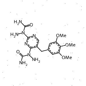 COc1cc(Cc2cnc(N(N)C(N)=O)nc2N(N)C(N)=O)cc(OC)c1OC